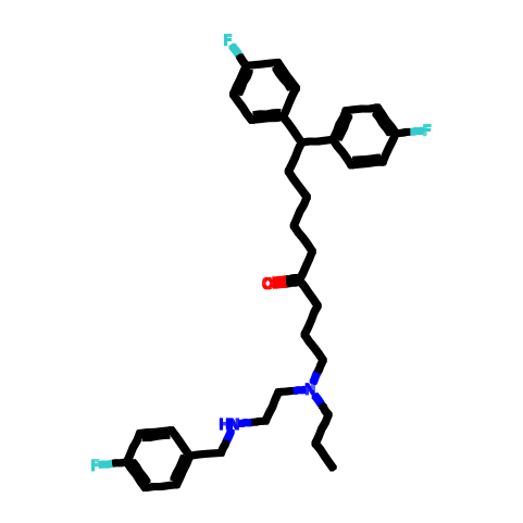 CCCN(CCCC(=O)CCCCC(c1ccc(F)cc1)c1ccc(F)cc1)CCNCc1ccc(F)cc1